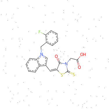 O=C(O)CN1C(=O)C(=Cc2cn(Cc3ccccc3F)c3ccccc23)SC1=S